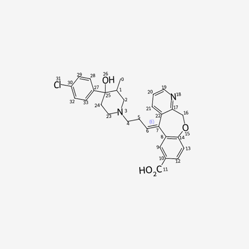 CC1CN(CC/C=C2/c3cc(C(=O)O)ccc3OCc3ncccc32)CCC1(O)c1ccc(Cl)cc1